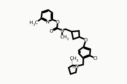 Cc1cccc(OC(=O)N(C)CC2CC(Oc3ccc(CN4CCC[C@@H]4C)c(Cl)c3)C2)n1